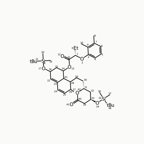 CC[C@H](Oc1cccc(C)c1C)C(=O)OC1CC(O[Si](C)(C)C(C)(C)C)C=C2C=CC(C)C(CC[C@@H]3C[C@@H](O[Si](C)(C)C(C)(C)C)CC(=O)O3)C21